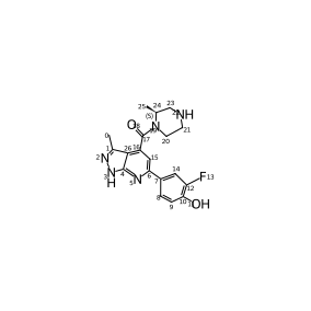 Cc1n[nH]c2nc(-c3ccc(O)c(F)c3)cc(C(=O)N3CCNC[C@@H]3C)c12